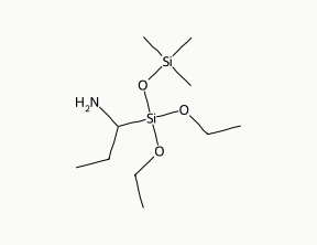 CCO[Si](OCC)(O[Si](C)(C)C)C(N)CC